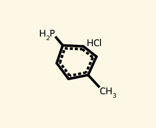 Cc1ccc(P)cc1.Cl